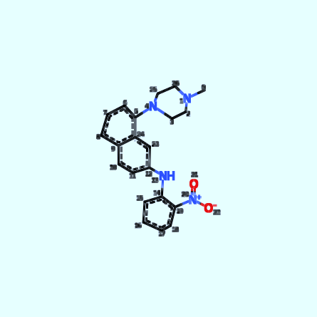 CN1CCN(c2cccc3ccc(Nc4ccccc4[N+](=O)[O-])cc23)CC1